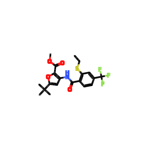 CCSc1cc(C(F)(F)F)ccc1C(=O)Nc1cc(C(C)(C)C)oc1C(=O)OC